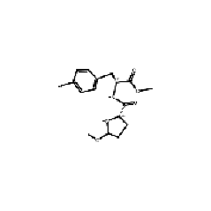 COC(=O)[C@H](Cc1ccc(F)cc1)NC(=O)[C@@H]1CCC(OC)N1